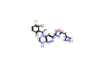 C[C@H](c1c(Cl)ccc(F)c1Cl)N1CCNc2nnc(-c3noc(CC4CNC4)n3)cc21